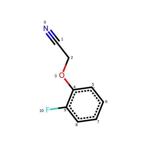 N#CCOc1[c]cccc1F